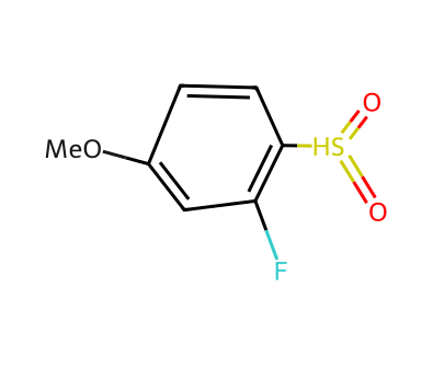 COc1ccc([SH](=O)=O)c(F)c1